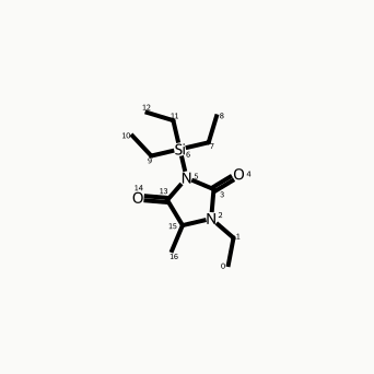 CCN1C(=O)N([Si](CC)(CC)CC)C(=O)C1C